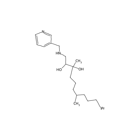 CC(C)CCCC(C)CCCC(C)(O)C(O)CNCc1cccnc1